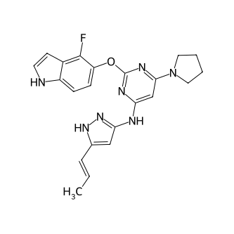 C/C=C/c1cc(Nc2cc(N3CCCC3)nc(Oc3ccc4[nH]ccc4c3F)n2)n[nH]1